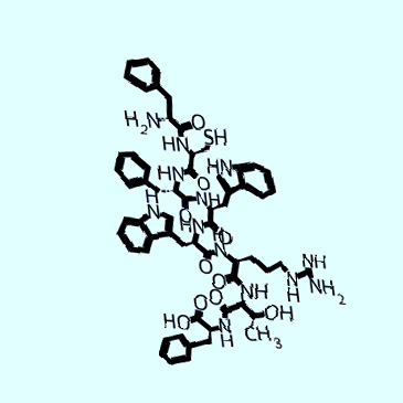 C[C@@H](O)[C@H](NC(=O)[C@H](CCCNC(=N)N)NC(=O)[C@@H](Cc1c[nH]c2ccccc12)NC(=O)[C@H](Cc1c[nH]c2ccccc12)NC(=O)[C@H](Cc1ccccc1)NC(=O)[C@H](CS)NC(=O)[C@H](N)Cc1ccccc1)C(=O)N[C@@H](Cc1ccccc1)C(=O)O